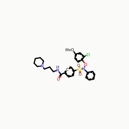 COc1ccc(ON(c2ccccc2)S(=O)(=O)c2ccc(C(=O)NCCCN3CCCCC3)cc2)c(Cl)c1